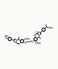 COC(=O)c1ccc(C2=CN3C(=O)c4cc(OC)c(OCCCOc5cc6c(cc5OC)C(=O)N5C=C(c7ccc(CN)cc7)CC5C=N6)cc4N=C[C@@H]3C2)cc1